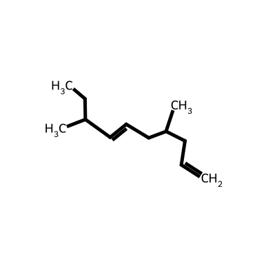 C=CCC(C)CC=CC(C)CC